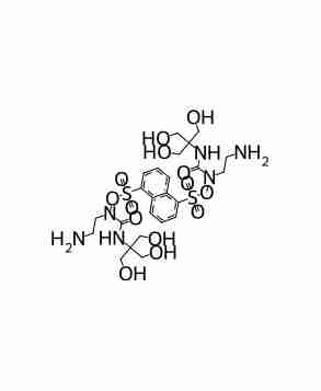 NCCN(OS(=O)(=O)c1cccc2c(S(=O)(=O)ON(CCN)C(=O)NC(CO)(CO)CO)cccc12)C(=O)NC(CO)(CO)CO